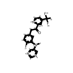 CN(c1cncnc1)c1cc(CC(=O)c2cc(C(C)(F)F)ccn2)ccc1F